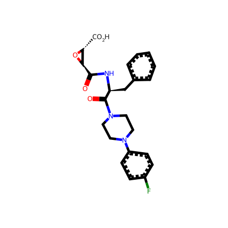 O=C(O)[C@H]1O[C@@H]1C(=O)N[C@@H](Cc1ccccc1)C(=O)N1CCN(c2ccc(F)cc2)CC1